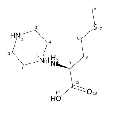 C1CNCCN1.CSCC[C@H](N)C(=O)O